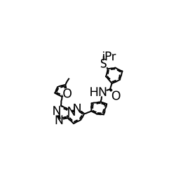 Cc1ccc(-c2nnc3ccc(-c4cccc(NC(=O)c5cccc(SC(C)C)c5)c4)nn23)o1